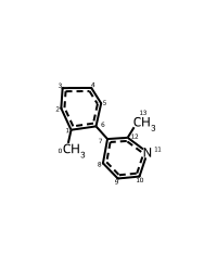 Cc1ccccc1-c1cccnc1C